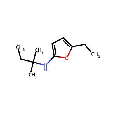 CCc1ccc(NC(C)(C)CC)o1